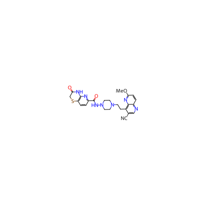 COc1ccc2ncc(C#N)c(CCN3CCN(NC(=O)c4ccc5c(n4)NC(=O)CS5)CC3)c2n1